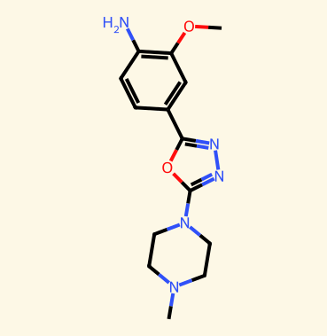 COc1cc(-c2nnc(N3CCN(C)CC3)o2)ccc1N